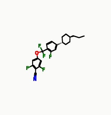 CCC[C@H]1CC[C@H](c2ccc(C(F)(F)Oc3cc(F)c(C#N)c(F)c3)c(F)c2)CC1